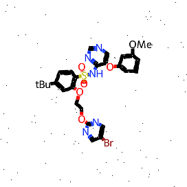 COc1cccc(Oc2cncnc2NS(=O)(=O)c2ccc(C(C)(C)C)cc2OCCOc2ncc(Br)cn2)c1